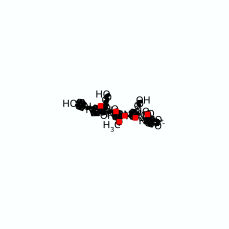 COc1cc(N=Nc2c(SOOO)cc3cc(N=Nc4ccc(O)cc4)ccc3c2O)c(O)cc1N=Nc1ccc(N=Nc2ccc([N+](=O)[O-])cc2S(=O)(=O)O)c(SOOO)c1